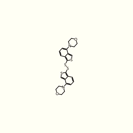 c1cc(N2CCOCC2)c2csc(SSc3scc4c(N5CCOCC5)cccc34)c2c1